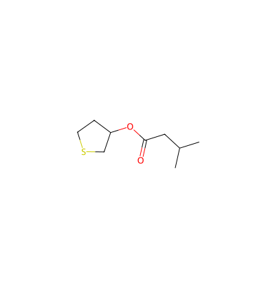 CC(C)CC(=O)OC1CCSC1